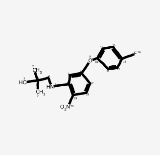 CC(C)(O)CNc1cc(Oc2ccc(F)cc2)ccc1[N+](=O)[O-]